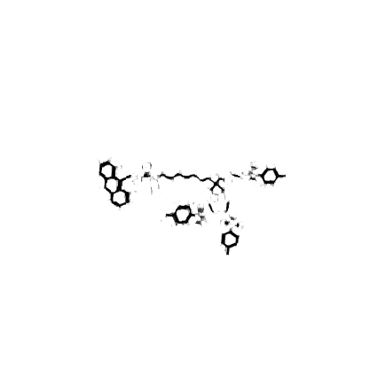 Cc1ccc(S(=O)(=O)OCCOCC(CCCCCCCNC(=O)OCc2c3ccccc3cc3ccccc23)(COCCOS(=O)(=O)c2ccc(C)cc2)COCCOS(=O)(=O)c2ccc(C)cc2)cc1